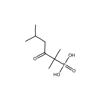 CC(C)CC(=O)C(C)(C)P(=O)(O)O